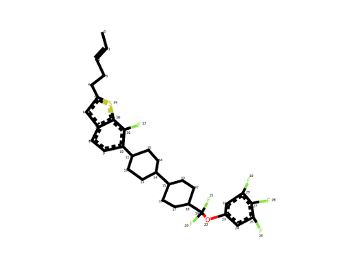 C/C=C/CCc1cc2ccc(C3CCC(C4CCC(C(F)(F)Oc5cc(F)c(F)c(F)c5)CC4)CC3)c(F)c2s1